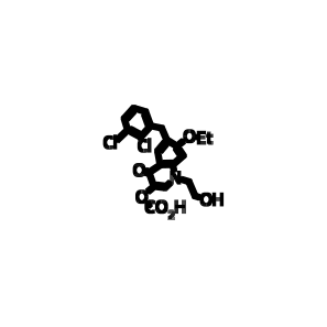 CCOc1cc2c(cc1Cc1cccc(Cl)c1Cl)c(=O)c(OC(=O)O)cn2CCO